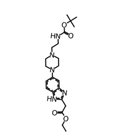 CCOC(=O)Cc1nc2cc(N3CCN(CCNC(=O)OC(C)(C)C)CC3)ccc2[nH]1